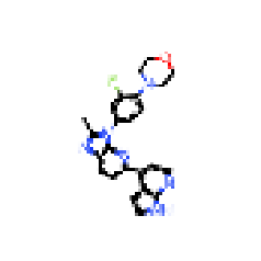 Cc1nc2ccc(-c3ccnc4[nH]ccc34)nc2n1-c1ccc(N2CCOCC2)c(F)c1